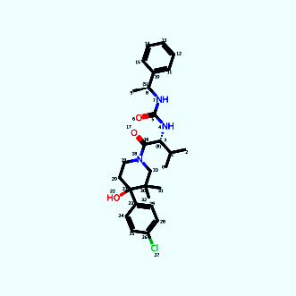 CC(C)[C@@H](NC(=O)N[C@@H](C)c1ccccc1)C(=O)N1CCC(O)(c2ccc(Cl)cc2)C(C)(C)C1